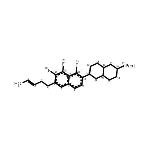 CC=CCCc1cc2ccc(C3CCC4CC(CCCCC)CCC4C3)c(F)c2c(F)c1F